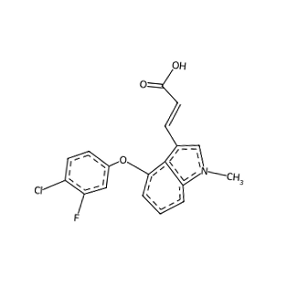 Cn1cc(/C=C/C(=O)O)c2c(Oc3ccc(Cl)c(F)c3)cccc21